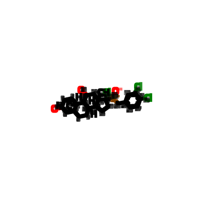 C[C@]12C=CC(=O)C=C1CC[C@@H]1[C@@H]2C(=O)C[C@@]2(C)[C@H]1CC[C@]2(Cl)[S+]([O-])Cc1ccc(Cl)c(Cl)c1